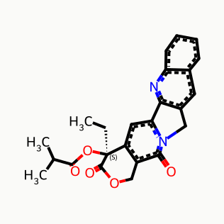 CC[C@@]1(OC(=O)C(C)C)C(=O)OCc2c1cc1n(c2=O)Cc2cc3ccccc3nc2-1